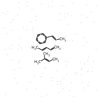 C=CC=CC.CC=C(C)C.CC=Cc1ccccc1